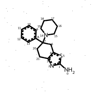 Nc1nc2c(s1)CC(c1ccccc1)(N1CCCCC1)CC2